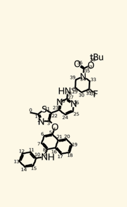 Cc1nc(Oc2ccc(Nc3ccccc3)c3ccccc23)c(-c2ccnc(N[C@H]3C[C@H](F)CN(C(=O)OC(C)(C)C)C3)n2)s1